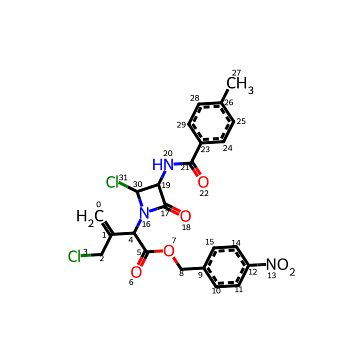 C=C(CCl)C(C(=O)OCc1ccc([N+](=O)[O-])cc1)N1C(=O)C(NC(=O)c2ccc(C)cc2)C1Cl